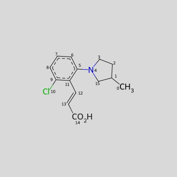 CC1CCN(c2cccc(Cl)c2C=CC(=O)O)C1